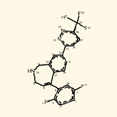 Fc1ccc(F)c(C2=CCNCc3cc(-c4ccc(C(F)(F)F)nn4)ccc32)c1